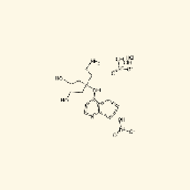 Cl.Cl.NCCC(CCO)(CCO)Nc1ccnc2ccccc12.O=[N+]([O-])O.O=[N+]([O-])O